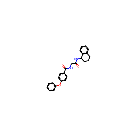 O=C(CNC(=O)c1ccc(Oc2ccccc2)cc1)NC1CCCc2ccccc21